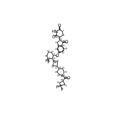 O=C1CCC(N2Cc3cc(O[C@@H]4CCCC(F)(F)[C@@H]4N4CC(C5CCN(C(=O)C6CC(F)(F)C6)CC5)C4)ccc3C2=O)C(=O)N1